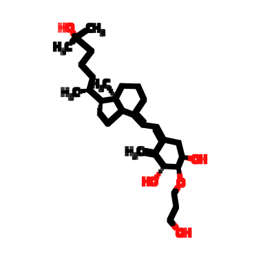 C=C1/C(=C\C=C2/CCC[C@@]3(C)C2CC[C@@H]3[C@H](C)CCCC(C)(C)O)C[C@@H](O)[C@@H](OCCCO)[C@@H]1O